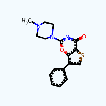 CN1CCN(c2nc(=O)c3scc(-c4ccccc4)c3o2)CC1